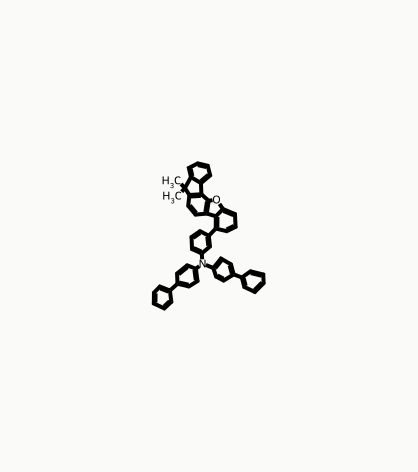 CC1(C)c2ccccc2-c2c1ccc1c2oc2cccc(-c3cccc(N(c4ccc(-c5ccccc5)cc4)c4ccc(-c5ccccc5)cc4)c3)c21